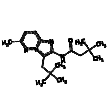 Cc1ccc2nc(NC(=O)CC(C)(C)C)c(CC(C)(C)C)n2n1